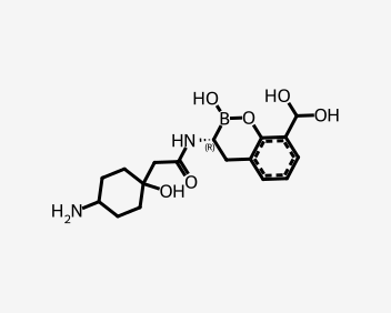 NC1CCC(O)(CC(=O)N[C@H]2Cc3cccc(C(O)O)c3OB2O)CC1